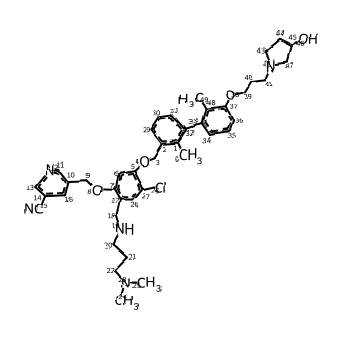 Cc1c(COc2cc(OCc3cncc(C#N)c3)c(CNCCCN(C)C)cc2Cl)cccc1-c1cccc(OCCCN2CC[C@@H](O)C2)c1C